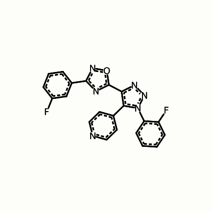 Fc1cccc(-c2noc(-c3nnn(-c4ccccc4F)c3-c3ccncc3)n2)c1